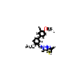 CC(=O)Oc1ccc(-c2ccc(OC(F)(F)F)c(C)c2)cc1CNCc1nc(C)cs1